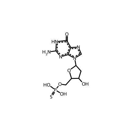 Nc1nc2c(ncn2C2CC(O)C(COP(O)(O)=S)O2)c(=O)[nH]1